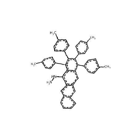 Cc1ccc(-c2c(-c3ccc(C)cc3)c(-c3ccc(C)cc3)c3c(NN)c4cc5ccccc5cc4cc3c2-c2ccc(C)cc2)cc1